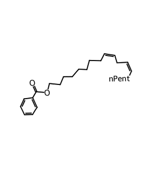 CCCCC/C=C\C/C=C\CCCCCCCCOC(=O)c1ccccc1